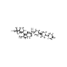 CC(C)c1cc2cnc(Nc3ccc(N4CCC(N5CCN(C)CC5)CC4)cc3)nc2n1-c1cccc(C(C)(C)O)n1